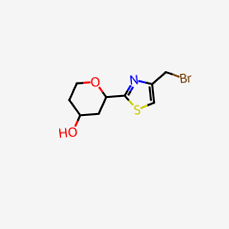 OC1CCOC(c2nc(CBr)cs2)C1